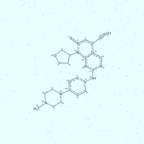 C#Cc1cc(=O)n(C2CCOC2)c2nc(Nc3ccc(N4CCN(C)CC4)cc3)ncc12